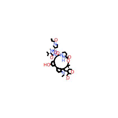 C=CC(=O)N1CC[C@H](C(=O)N(C)[C@H](C(=O)N[C@H]2Cc3cc(O)cc(c3)-c3ccc4c(c3)c(c(C3=C(COC)COCC3)n4CC)CC(C)(C)COC(=O)[C@@H]3CCCN(N3)C2=O)C(C)C)C1